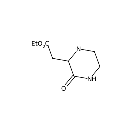 CCOC(=O)CC1[N]CCNC1=O